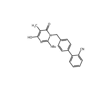 CCCCc1nc(O)c(C)c(=O)n1Cc1ccc(-c2ccccc2C#N)cc1